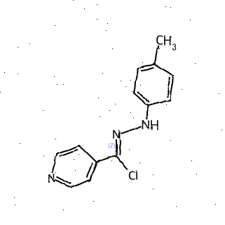 Cc1ccc(N/N=C(\Cl)c2ccncc2)cc1